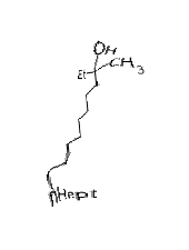 CCCCCCCCCCCCCCCC(C)(O)CC